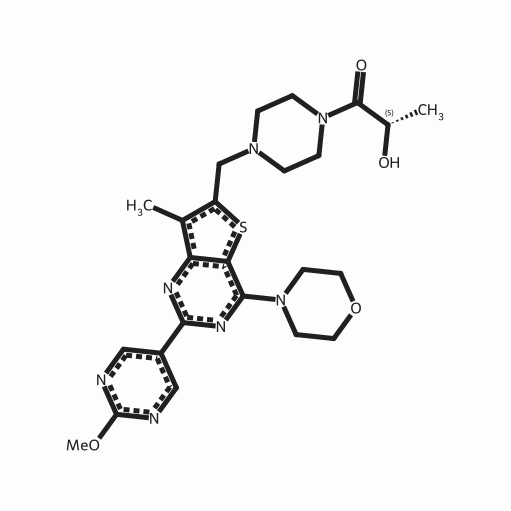 COc1ncc(-c2nc(N3CCOCC3)c3sc(CN4CCN(C(=O)[C@H](C)O)CC4)c(C)c3n2)cn1